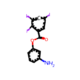 Nc1cccc(OC(=O)c2cc(I)cc(I)c2I)c1